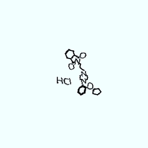 Cl.O=C1C2CC=CCC2C(=O)N1CCCN1CCN(c2ccccc2OC2CCCC2)CC1